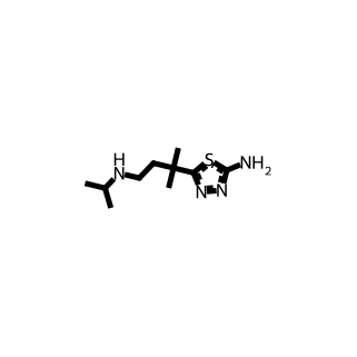 CC(C)NCCC(C)(C)c1nnc(N)s1